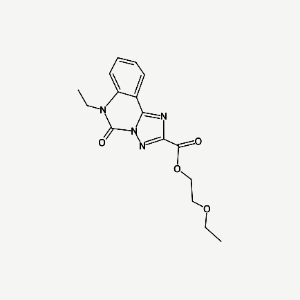 CCOCCOC(=O)c1nc2c3ccccc3n(CC)c(=O)n2n1